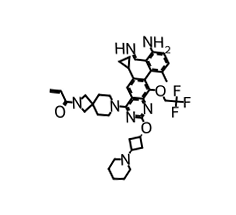 C=CC(=O)N1CC2(CCN(c3nc(O[C@H]4C[C@H](N5CCCCC5)C4)nc4c(OCC(F)(F)F)c(-c5c(C)ccc(N)c5C=N)c(C5CC5)cc34)CC2)C1